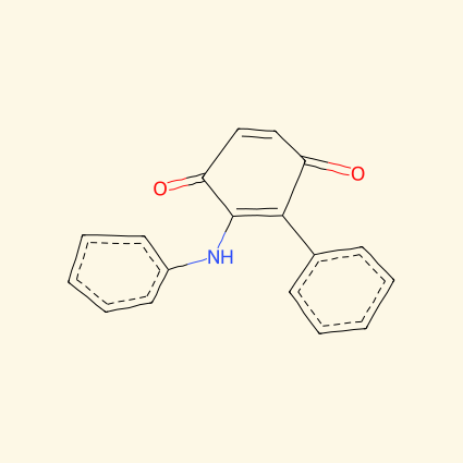 O=C1C=CC(=O)C(c2ccccc2)=C1Nc1ccccc1